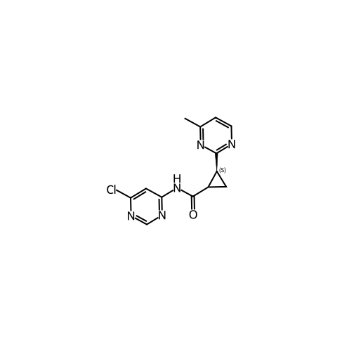 Cc1ccnc([C@H]2CC2C(=O)Nc2cc(Cl)ncn2)n1